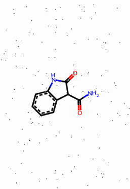 NC(=O)C1C(=O)Nc2ccccc21